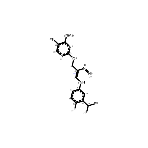 CNc1nc(OC/C(=C/Nc2ccc(F)c(C(F)F)c2)N=N)ncc1F